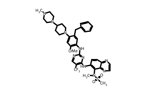 COc1cc(N2CCC(N3CCN(C)CC3)CC2)c(Cc2ccccc2)cc1Nc1ncc(C(F)(F)F)c(Nc2ccc3nccnc3c2N(C)S(C)(=O)=O)n1